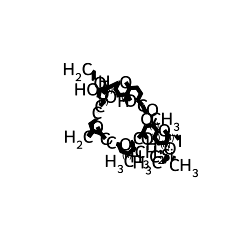 C=CCOC1(O)C[C@]23CCC4CC(=C)C(CCC5C[C@@H](C)C(=C)C(CC6O[C@H]7C[C@@H](O[Si](CC)(CC)CC)[C@@H](CI)OC7[C@H](C)C6OC(=O)CC6CCC7OC(CC(O2)[C@H]7O6)[C@@H]1O3)O5)O4